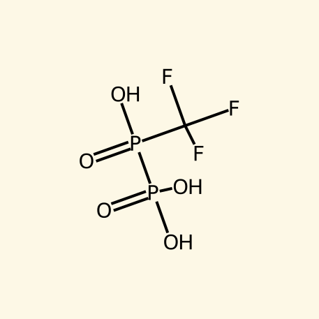 O=P(O)(O)P(=O)(O)C(F)(F)F